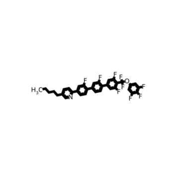 CCCCCc1ccc(-c2ccc(-c3ccc(-c4cc(F)c(C(F)(F)Oc5cc(F)c(F)c(F)c5)c(F)c4)c(F)c3)c(F)c2)nc1